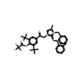 Cc1cn(CC(=O)c2cc(C(C)(C)C)c(OC(=O)C(F)(F)F)c(C(C)(C)C)c2)c(=NCc2ccccc2F)n1Cc1ccccc1